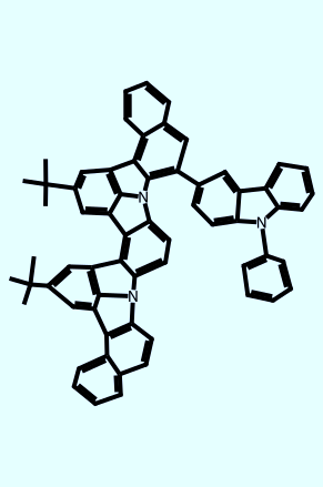 CC(C)(C)c1cc2c3c4ccccc4ccc3n3c4ccc5c(c6cc(C(C)(C)C)cc7c8c9ccccc9cc(-c9ccc%10c(c9)c9ccccc9n%10-c9ccccc9)c8n5c67)c4c(c1)c23